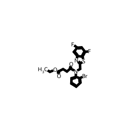 CCOC(=O)CCC(=O)N(Cc1nc2cc(F)cc(F)c2s1)c1ccccc1Br